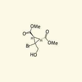 COC(=O)[C@H]1[C@H](C(=O)OC)C1(Br)CO